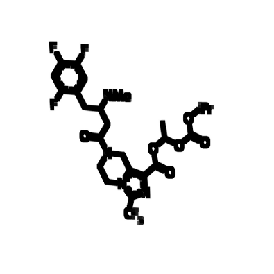 CNC(CC(=O)N1CCn2c(C(F)(F)F)nc(C(=O)OC(C)OC(=O)OC(C)C)c2C1)Cc1cc(F)c(F)cc1F